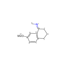 C/N=C1/CCCc2ccc(OC)cc21